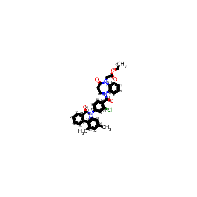 CCOC(=O)CN1C(=O)CCN(C(=O)c2ccc(NC(=O)c3ccccc3-c3ccc(C)cc3C)cc2Cl)c2ccccc21